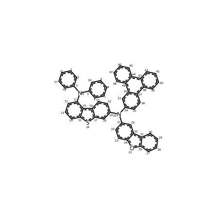 c1ccc(N(c2ccccc2)c2cccc3sc4cc(N(c5ccc6oc7ccccc7c6c5)c5ccc6c7ccccc7c7ccccc7c6c5)ccc4c23)cc1